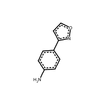 Nc1ccc(-c2[c]con2)cc1